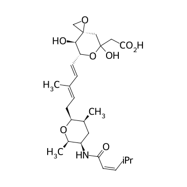 CC(/C=C/[C@H]1OC(O)(CC(=O)O)C[C@@]2(CO2)[C@@H]1O)=C\C[C@@H]1O[C@H](C)[C@H](NC(=O)/C=C\C(C)C)C[C@@H]1C